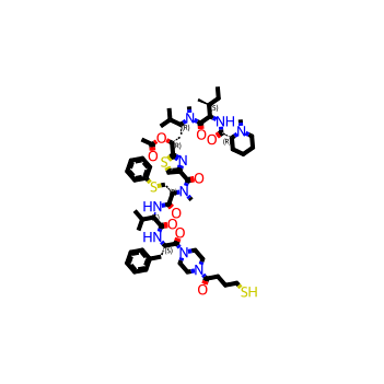 CC[C@H](C)C(NC(=O)[C@H]1CCCCN1C)C(=O)N(C)[C@H](C[C@@H](OC(C)=O)c1nc(C(=O)N(C)[C@@H](CSc2ccccc2)C(=O)N[C@H](C(=O)N[C@@H](Cc2ccccc2)C(=O)N2CCN(C(=O)CCCS)CC2)C(C)C)cs1)C(C)C